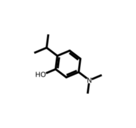 CC(C)c1ccc(N(C)C)cc1O